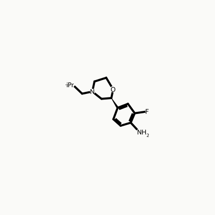 C[C](C)CN1CCO[C@@H](c2ccc(N)c(F)c2)C1